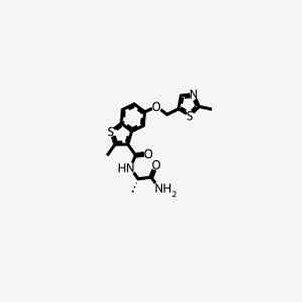 Cc1ncc(COc2ccc3sc(C)c(C(=O)N[C@@H](C)C(N)=O)c3c2)s1